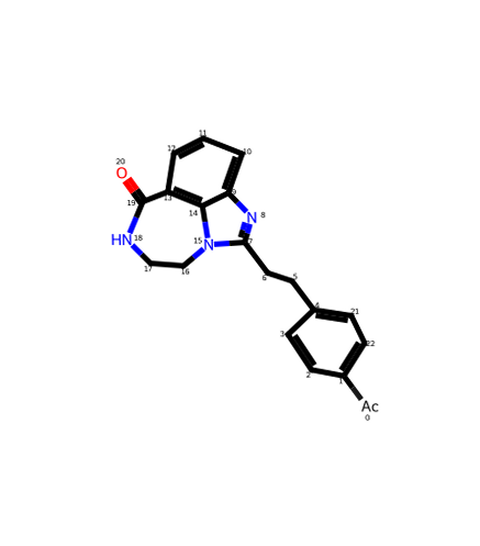 CC(=O)c1ccc(CCc2nc3cccc4c3n2CCNC4=O)cc1